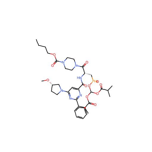 CCCCOC(=O)N1CCN(C(=O)[C@H](C[PH](=O)OC(OC(=O)C(C)C)OC(=O)C(C)C)NC(=O)c2cc(N3CC[C@H](OC)C3)nc(-c3ccccc3)n2)CC1